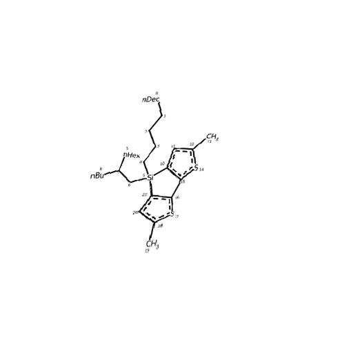 CCCCCCCCCCCCCC[Si]1(CC(CCCC)CCCCCC)c2cc(C)sc2-c2sc(C)cc21